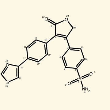 NS(=O)(=O)c1ccc(C2=C(c3ccc(-c4cscn4)cc3)C(=O)OC2)cc1